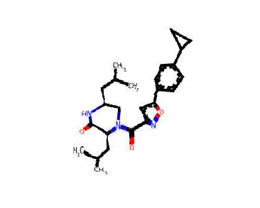 CC(C)C[C@H]1CN(C(=O)c2cc(-c3ccc(C4CC4)cc3)on2)[C@@H](CC(C)C)C(=O)N1